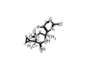 C[C@@]1(c2nc(Cl)ncc2F)CS(=O)(=O)[C@@](C)(C2CC2)C(=N)N1